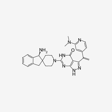 C=C(c1ccnc(N(C)C)c1)c1n[nH]c2nc(N3CCC4(CC3)Cc3ccccc3[C@H]4N)[nH]c(=O)c12